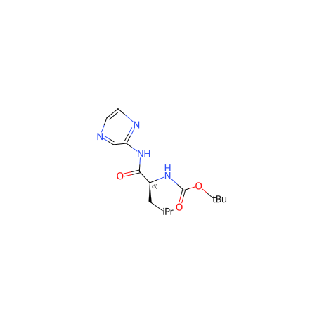 CC(C)C[C@H](NC(=O)OC(C)(C)C)C(=O)Nc1cnccn1